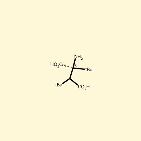 CC(C)(C)C(C(=O)O)[C@](N)(C(=O)O)C(C)(C)C